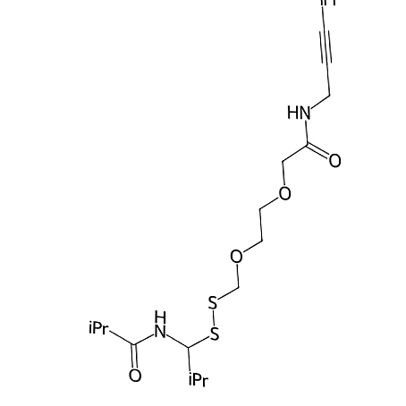 CC(C)C#CCNC(=O)COCCOCSSC(NC(=O)C(C)C)C(C)C